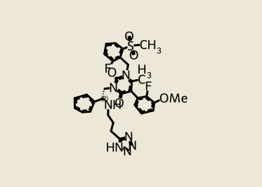 COc1cccc(-c2c(C)n(Cc3c(F)cccc3S(C)(=O)=O)c(=O)n(C[C@H](NCCCc3nnn[nH]3)c3ccccc3)c2=O)c1F